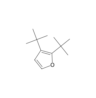 CC(C)(C)c1ccoc1C(C)(C)C